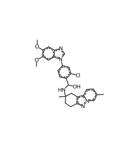 COc1cc2ncn(-c3ccc(C(O)NC4(C)CCc5nn6cc(C)ccc6c5C4)c(Cl)c3)c2cc1OC